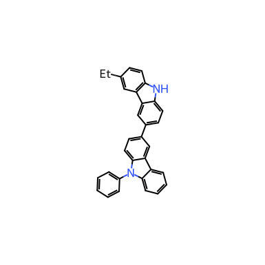 CCc1ccc2[nH]c3ccc(-c4ccc5c(c4)c4ccccc4n5-c4ccccc4)cc3c2c1